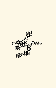 COCCn1cc(N2CC(C)n3c(c(CCCOc4cc(C)c(Cl)c(C)c4)c4ccc(Cl)c(-c5c(C)nn(C)c5C)c43)C2=O)c2cc(-c3ncn(CCN4CCN(C)CC4)n3)ccc21